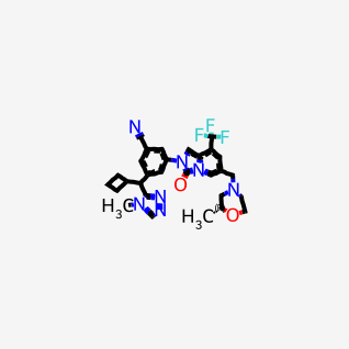 C[C@@H]1CN(Cc2cc(C(F)(F)F)c3cn(-c4cc(C#N)cc(C(c5nncn5C)C5CCC5)c4)c(=O)n3c2)CCO1